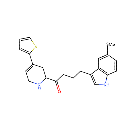 CSc1ccc2[nH]cc(CCCC(=O)C3CC(c4cccs4)=CCN3)c2c1